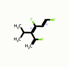 C=C(F)/C(=C(F)\C=C\F)C(C)C